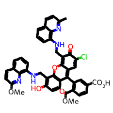 COC(=O)c1ccc(C(=O)O)cc1-c1c2cc(Cl)c(=O)c(CNc3cccc4ccc(C)nc34)c-2oc2c(CNc3cccc4ccc(OC)nc34)c(O)ccc12